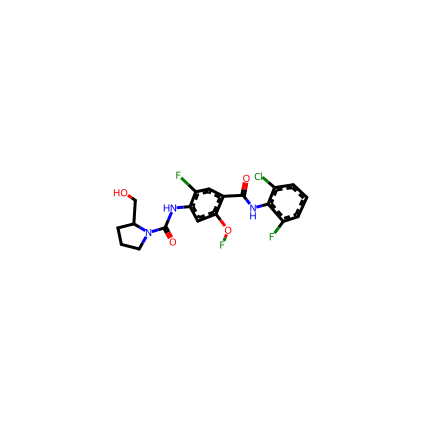 O=C(Nc1c(F)cccc1Cl)c1cc(F)c(NC(=O)N2CCCC2CO)cc1OF